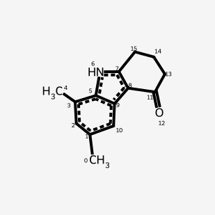 Cc1cc(C)c2[nH]c3c(c2c1)C(=O)CCC3